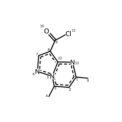 Cc1cc(C)n2ncc(C(=O)Cl)c2n1